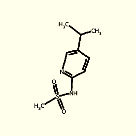 CC(C)c1ccc(NS(C)(=O)=O)nc1